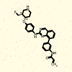 C=CC(=O)Nc1cccc(-c2cccc3cnc(Nc4ccc(O[C@H]5CCNC[C@@H]5CF)cc4)nc23)c1